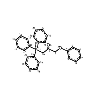 O=C(COc1ccccc1)C[PH](c1ccccc1)(c1ccccc1)c1ccccc1